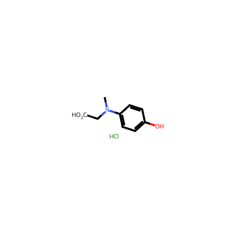 CN(CC(=O)O)c1ccc(O)cc1.Cl